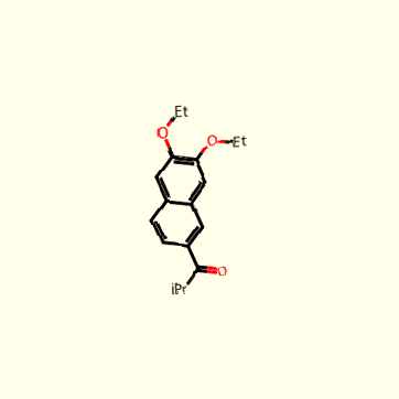 CCOc1cc2ccc(C(=O)C(C)C)cc2cc1OCC